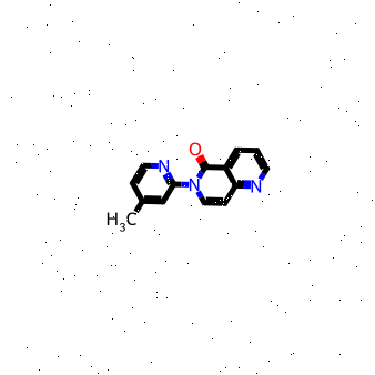 Cc1ccnc(-n2ccc3ncccc3c2=O)c1